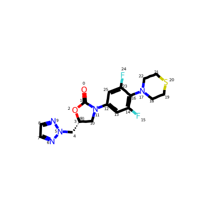 O=C1O[C@@H](Cn2nccn2)CN1c1cc(F)c(N2CCSCC2)c(F)c1